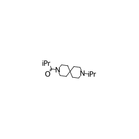 CC(C)C(=O)N1CCC2(CC1)CCN(C(C)C)CC2